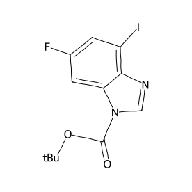 CC(C)(C)OC(=O)n1cnc2c(I)cc(F)cc21